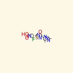 Cc1cn2nc(-c3cc(=O)n4cc([C@H]5CCN(C(=O)O)C[C@@H]5F)sc4n3)cc(C)c2n1